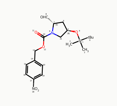 CC(C)(C)[Si](C)(C)O[C@@H]1C[C@@H](C=O)N(C(=O)OCc2ccc([N+](=O)[O-])cc2)C1